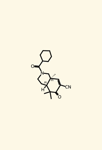 CC1(C)C(=O)C(C#N)=C[C@]2(C)CN(C(=O)C3CCCCC3)CC[C@@H]12